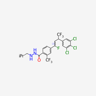 CC(C)CNNC(=O)c1ccc(/C(F)=C/C(c2cc(Cl)c(Cl)c(Cl)c2)C(F)(F)F)cc1C(F)(F)F